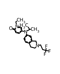 CCn1cc(N(c2ccc3c(c2)CN(CCC(F)(F)F)CC3)C(C)C)ccc1=O